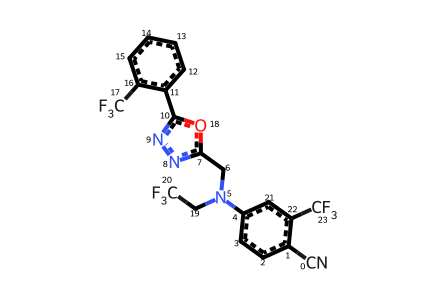 N#Cc1ccc(N(Cc2nnc(-c3ccccc3C(F)(F)F)o2)CC(F)(F)F)cc1C(F)(F)F